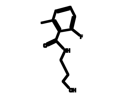 Cc1cccc(F)c1C(=O)NCCCO